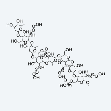 CO[C@@H]1OC(COS(=O)(=O)O)[C@@H](O[C@H]2C[C@H](O)[C@@H](O[C@@H]3OC(CO)[C@@H](O[C@H]4C[C@H](O)[C@@H](O[C@@H]5OC(COS(=O)(=O)O)[C@@H](O[C@H]6C[C@H](O)[C@@H](O[C@@H]7OC(CO)[C@@H](O[C@H]8C[C@H](O)[C@H](O)C(C)O8)[C@H](O)C7NSOOO)C(C)O6)[C@H](O)C5NSOOO)C(C)O4)[C@H](O)C3NSOOO)C(C)O2)[C@H](O)C1NSOOO